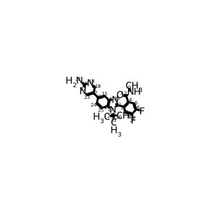 CNC(=O)c1cc(F)c(F)cc1-c1nc2cc(-c3cnc(N)nc3)ccc2n1C(C)(C)C